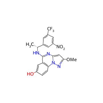 COc1cc2nc(N[C@H](C)c3cc([N+](=O)[O-])cc(C(F)(F)F)c3)c3cc(O)ccc3n2n1